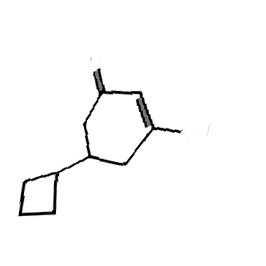 O=C1C=C(O)CC(C2CCC2)C1